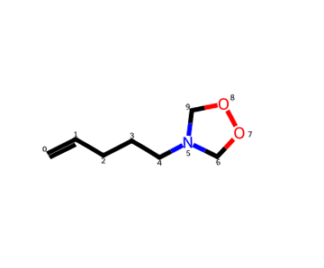 C=CCCCN1COOC1